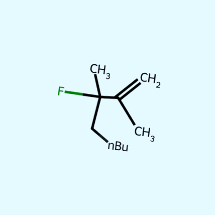 C=C(C)C(C)(F)CCCCC